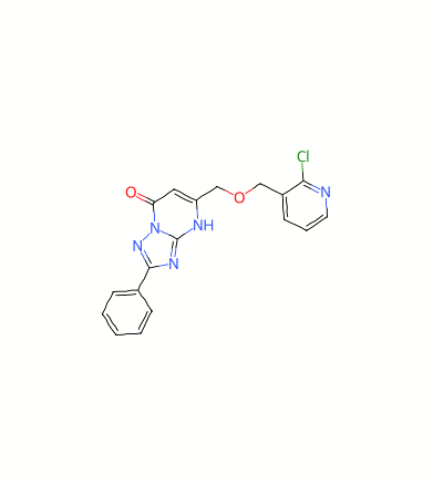 O=c1cc(COCc2cccnc2Cl)[nH]c2nc(-c3ccccc3)nn12